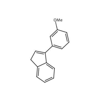 COc1cccc(C2=CCc3ccccc32)c1